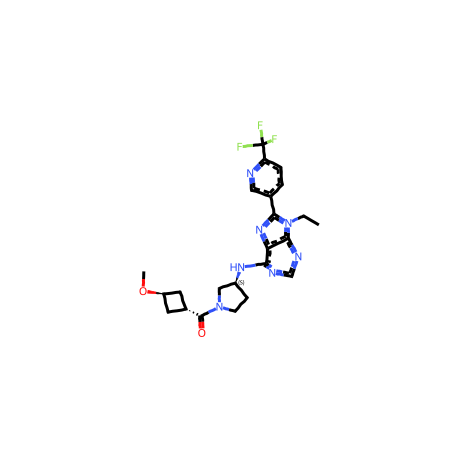 CCn1c(-c2ccc(C(F)(F)F)nc2)nc2c(N[C@H]3CCN(C(=O)[C@H]4C[C@H](OC)C4)C3)ncnc21